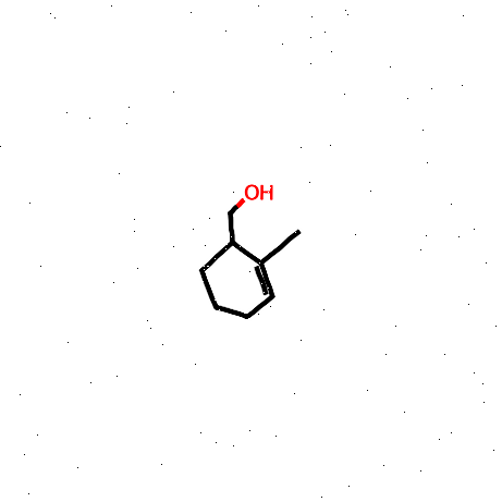 CC1=CCCCC1CO